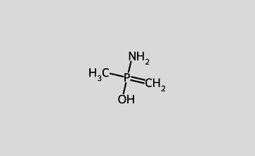 C=P(C)(N)O